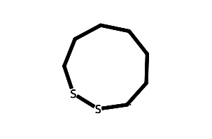 [CH]1CCCCCCSS1